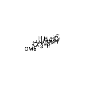 COc1cccc(NC(=O)N2C[C@@H]3C[C@@](O)(Cc4ccccc4)C[C@@H]3C2)c1